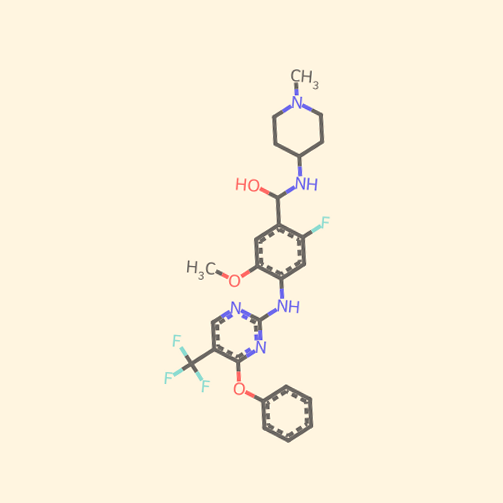 COc1cc(C(O)NC2CCN(C)CC2)c(F)cc1Nc1ncc(C(F)(F)F)c(Oc2ccccc2)n1